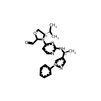 CC(C)[C@H]1COC(C=O)N1c1ccnc(N[C@@H](C)c2cnn(-c3ccccc3)c2)n1